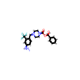 Nc1ccc(CN2CCN(C(=O)OC(=O)c3ccccc3)CC2)c(C(F)(F)F)c1